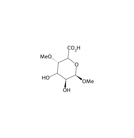 CO[C@@H]1C(C(=O)O)O[C@@H](OC)[C@@H](O)C1O